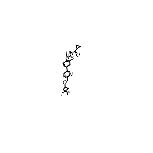 O=C(Nc1nc2ccc(-c3cnc(COC4CC(F)(F)C4)nc3)cc2s1)C1CC1